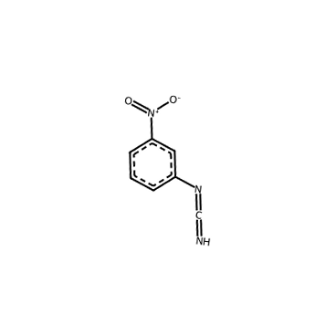 N=C=Nc1cccc([N+](=O)[O-])c1